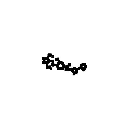 Cc1noc(C)c1COc1ccc(C(=O)Nc2nc(-c3cccs3)cs2)cc1Cl